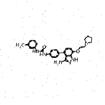 Cc1cccc(NC(=O)Nc2ccc(-c3ccc(OCCN4CCCC4)c4[nH]nc(N)c34)cc2)c1